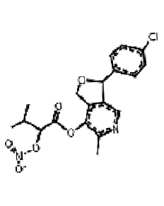 Cc1ncc2c(c1OC(=O)C(O[N+](=O)[O-])C(C)C)COC2c1ccc(Cl)cc1